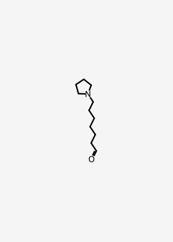 O=CCCCCCCN1CCCC1